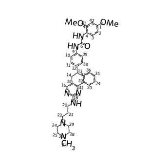 COc1ccc(NC(=O)Nc2ccc(C3Cc4cnc(NCCCN5CCN(C)CC5)nc4-c4ccccc43)cc2)c(OC)c1